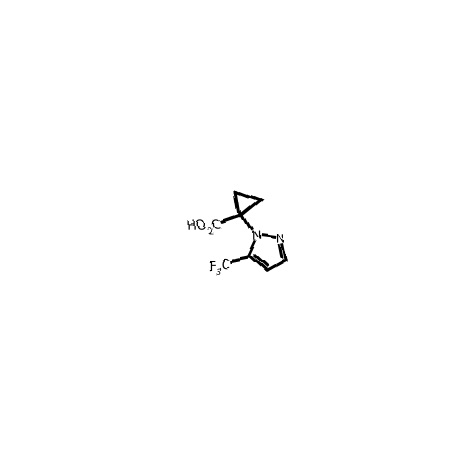 O=C(O)C1(n2nccc2C(F)(F)F)CC1